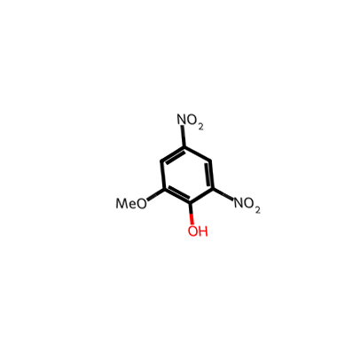 COc1cc([N+](=O)[O-])cc([N+](=O)[O-])c1O